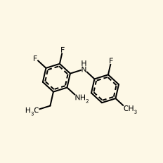 CCc1cc(F)c(F)c(Nc2ccc(C)cc2F)c1N